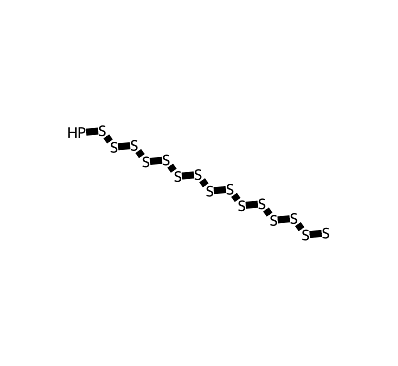 P=S=S=S=S=S=S=S=S=S=S=S=S=S=S=S